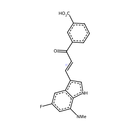 CNc1cc(F)cc2c(/C=C/C(=O)c3cccc(C(=O)O)c3)c[nH]c12